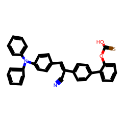 N#CC(=Cc1ccc(N(c2ccccc2)c2ccccc2)cc1)c1ccc(-c2ccccc2OC(O)=S)cc1